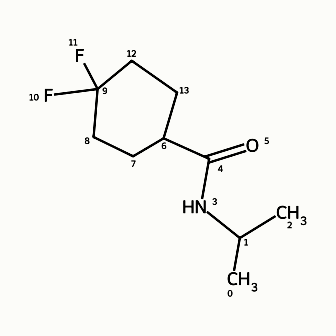 CC(C)NC(=O)C1CCC(F)(F)CC1